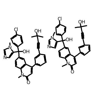 Cn1cncc1C(O)(c1ccc(Cl)cc1)c1ccc2c(c1)c(-c1cccc(C#CC(C)(C)O)c1)cc(=O)n2C.Cn1cncc1C(O)(c1ccc(Cl)cc1)c1ccc2c(c1)c(-c1cccc(C#CC(C)(C)O)c1)cc(=O)n2C